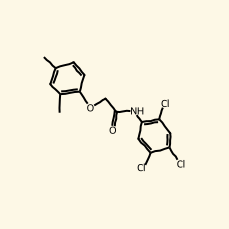 Cc1ccc(OCC(=O)Nc2cc(Cl)c(Cl)cc2Cl)c(C)c1